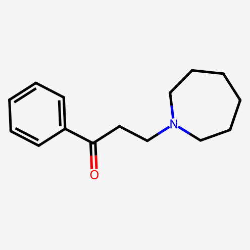 O=C(CCN1CCCCCC1)c1ccccc1